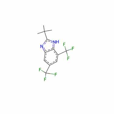 CC(C)(C)c1nc2cc(C(F)(F)F)cc(C(F)(F)F)c2[nH]1